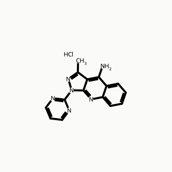 Cc1nn(-c2ncccn2)c2nc3ccccc3c(N)c12.Cl